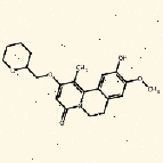 COc1cc2c(cc1O)-c1c(C)c(OCC3CCCCO3)cc(=O)n1CC2